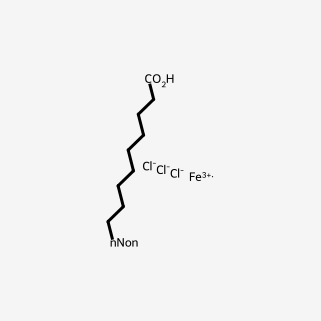 CCCCCCCCCCCCCCCCCC(=O)O.[Cl-].[Cl-].[Cl-].[Fe+3]